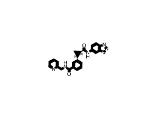 O=C(NCc1ccccn1)c1cccc([C@@H]2C[C@H]2C(=O)Nc2ccc3nnsc3c2)c1